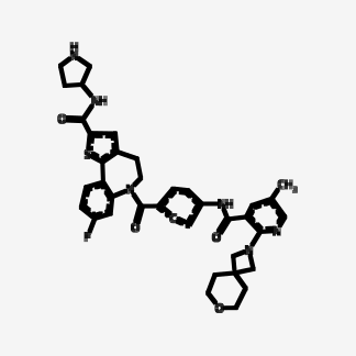 Cc1cnc(N2CC3(CCOCC3)C2)c(C(=O)Nc2ccc(C(=O)N3CCc4cc(C(=O)NC5CCNC5)sc4-c4ccc(F)cc43)cc2)c1